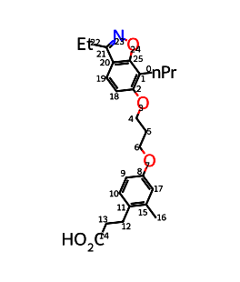 CCCc1c(OCCCOc2ccc(CCC(=O)O)c(C)c2)ccc2c(CC)noc12